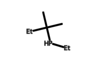 CCPC(C)(C)CC